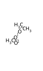 CC(C)COCCOC1(C)CCO1